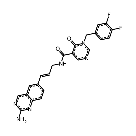 Nc1ncc2cc(C=CCNC(=O)c3cncn(Cc4ccc(F)c(F)c4)c3=O)ccc2n1